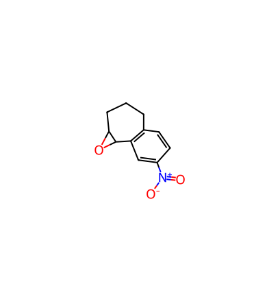 O=[N+]([O-])c1ccc2c(c1)C1OC1CCC2